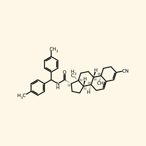 Cc1ccc(C(NC(=O)[C@H]2CC[C@H]3[C@@H]4CC=C5C=C(C#N)CC[C@]5(C)[C@H]4CC[C@]23C)c2ccc(C)cc2)cc1